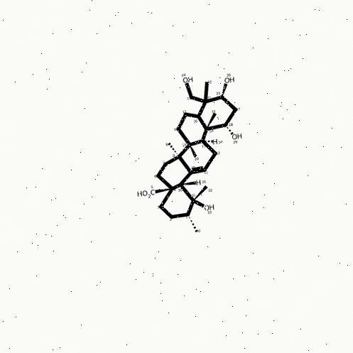 C[C@@H]1CC[C@]2(C(=O)O)CC[C@]3(C)C(=CC[C@@H]4[C@]5(C)C(CC[C@]43C)C(C)(CO)[C@@H](O)C[C@@H]5O)[C@@H]2[C@]1(C)O